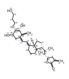 C=C1C[C@@H](C[C@@H](C)[C@H]2CC[C@H]3/C(=C/C=C4/C[C@@H](O)[C@H](OCCCO)[C@H](O)C4=C)CCC[C@]23C)OC1=O